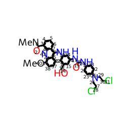 CNC(=O)c1cccc2c(Nc3cc(CO)cc(NC(=O)Nc4ccc(N(CCCl)CCCl)cc4)c3)c3cccc(OC)c3nc12